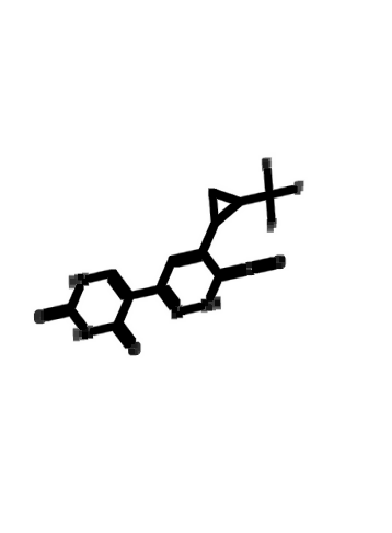 O=C=C1NN=C(c2c[nH]c(=O)[nH]c2=O)C=C1C1CC1C(F)(F)F